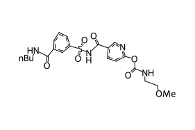 CCCCNC(=O)c1cccc(S(=O)(=O)NC(=O)c2ccc(OC(=O)NCCOC)nc2)c1